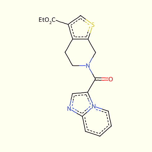 CCOC(=O)c1csc2c1CCN(C(=O)c1cnc3ccccn13)C2